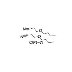 CCCCOCCC#N.CCCCOCCC#N.[Cl][Pt][Cl]